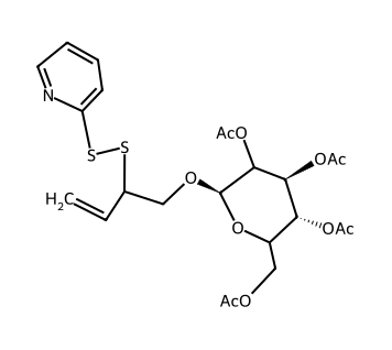 C=CC(CO[C@@H]1OC(COC(C)=O)[C@@H](OC(C)=O)[C@H](OC(C)=O)C1OC(C)=O)SSc1ccccn1